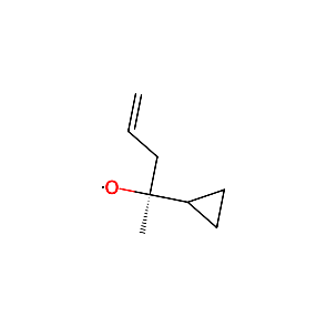 C=CC[C@](C)([O])C1CC1